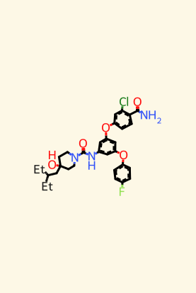 CCC(CC)CC1(O)CCN(C(=O)Nc2cc(Oc3ccc(F)cc3)cc(Oc3ccc(C(N)=O)c(Cl)c3)c2)CC1